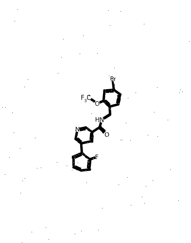 O=C(NCc1ccc(Br)cc1OC(F)(F)F)c1cncc(-c2ccccc2F)c1